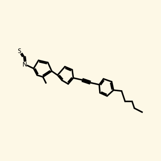 CCCCCc1ccc(C#Cc2ccc(-c3ccc(N=C=S)cc3C)cc2)cc1